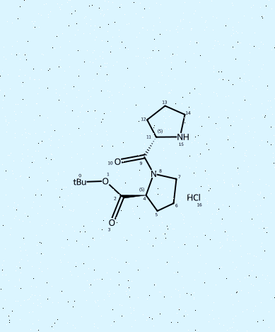 CC(C)(C)OC(=O)[C@@H]1CCCN1C(=O)[C@@H]1CCCN1.Cl